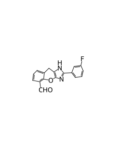 O=Cc1cccc2c1Oc1nc(-c3cccc(F)c3)[nH]c1C2